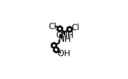 O=C(NCCc1cccc2ccc(O)cc12)NC(c1ccc(Cl)cc1)c1ccc(Cl)cc1